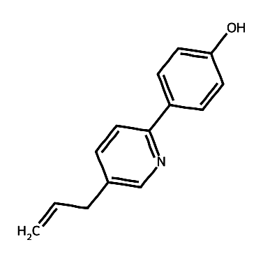 C=CCc1ccc(-c2ccc(O)cc2)nc1